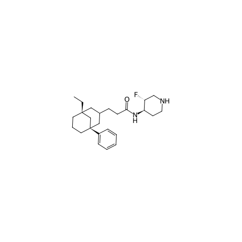 CC[C@@]12CCC[C@@](c3ccccc3)(CC(CCC(=O)N[C@@H]3CCNC[C@H]3F)C1)C2